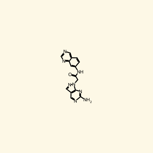 Nc1ncc2cnn(CC(=O)Nc3ccc4cncnc4c3)c2n1